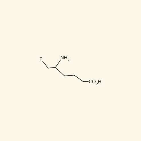 NC(CF)CCCC(=O)O